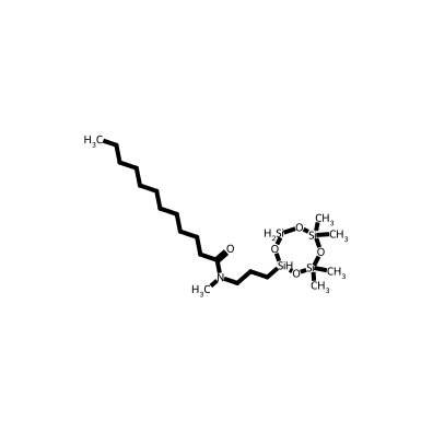 CCCCCCCCCCCC(=O)N(C)CCC[SiH]1O[SiH2]O[Si](C)(C)O[Si](C)(C)O1